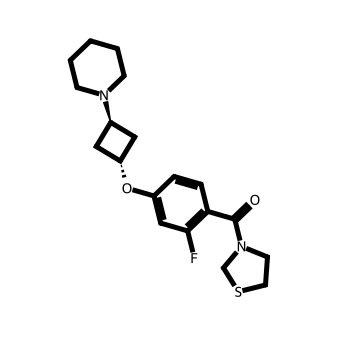 O=C(c1ccc(O[C@H]2C[C@H](N3CCCCC3)C2)cc1F)N1CCSC1